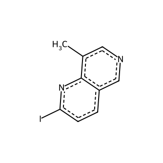 Cc1cncc2ccc(I)nc12